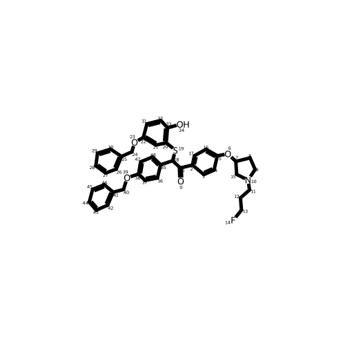 O=C(c1ccc(OC2CCN(CCCF)C2)cc1)C(Sc1cc(OCc2ccccc2)ccc1O)c1ccc(OCc2ccccc2)cc1